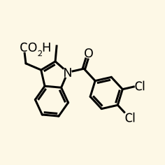 Cc1c(CC(=O)O)c2ccccc2n1C(=O)c1ccc(Cl)c(Cl)c1